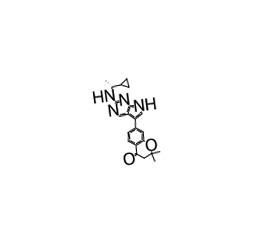 C[C@@H](Nc1ncc2c(-c3ccc4c(c3)OC(C)(C)CC4=O)c[nH]c2n1)C1CC1